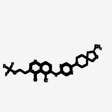 C[C@H]1CC2(CCN(c3cnc(Sc4ccc5ncn(CCOC(F)(F)F)c(=O)c5c4Cl)cn3)CC2)CO1